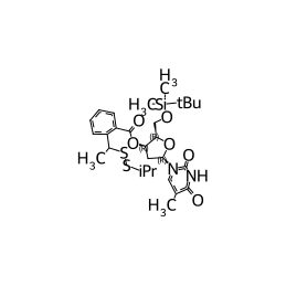 Cc1cn([C@H]2C[C@@H](OC(=O)c3ccccc3C(C)SSC(C)C)[C@@H](CO[Si](C)(C)C(C)(C)C)O2)c(=O)[nH]c1=O